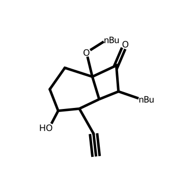 C#CC1C(O)CCC2(OCCCC)C(=O)C(CCCC)C12